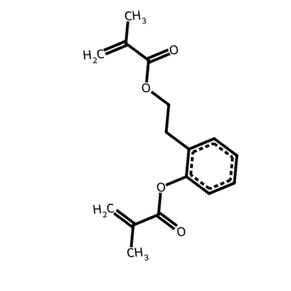 C=C(C)C(=O)OCCc1ccccc1OC(=O)C(=C)C